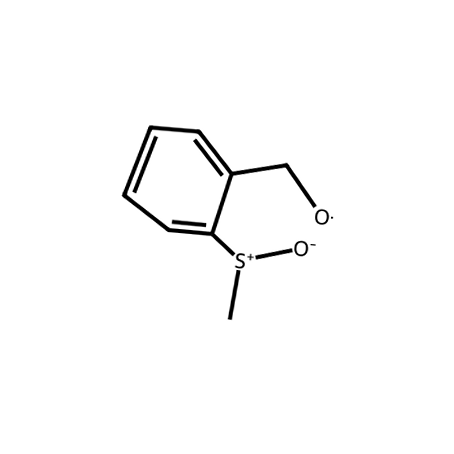 C[S+]([O-])c1ccccc1C[O]